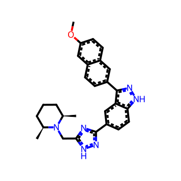 COc1ccc2cc(-c3n[nH]c4ccc(-c5n[nH]c(CN6[C@H](C)CCC[C@@H]6C)n5)cc34)ccc2c1